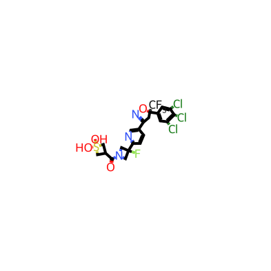 O=C(C1CS(O)(O)C1)N1CC(F)(c2ccc(C3=NOC(c4cc(Cl)c(Cl)c(Cl)c4)(C(F)(F)F)C3)cn2)C1